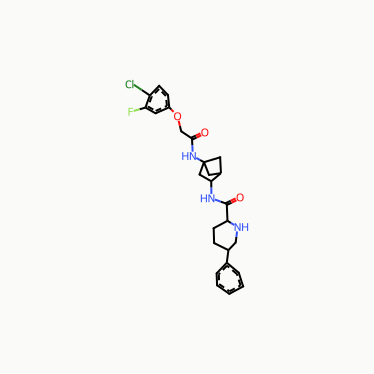 O=C(COc1ccc(Cl)c(F)c1)NC12CC(C1)C(NC(=O)C1CCC(c3ccccc3)CN1)C2